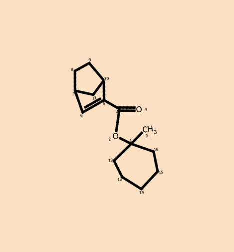 CC1(OC(=O)C2=CC3CCC2C3)CCCCC1